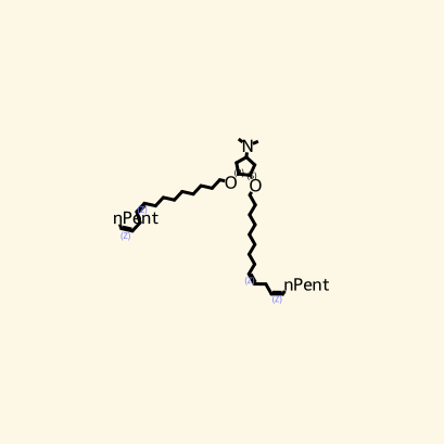 CCCCC/C=C\C/C=C\CCCCCCCCO[C@H]1CC(N(C)C)C[C@H]1OCCCCCCCC/C=C\C/C=C\CCCCC